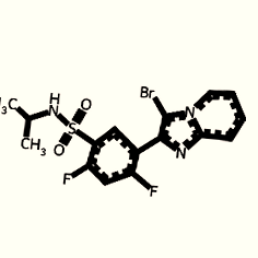 CC(C)NS(=O)(=O)c1cc(-c2nc3ccccn3c2Br)c(F)cc1F